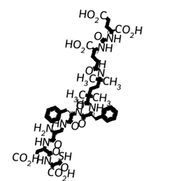 CC(C)(CCC(C)(C)C(=O)N[C@@H](Cc1ccccc1)C(=O)N[C@@H](Cc1ccccc1)C(=O)NC[C@H](N)C(=O)NC(CC(=O)O)C(=O)NC(C(=O)O)C(=O)S)NC(=O)CC[C@H](NC(=O)N[C@@H](CCC(=O)O)C(=O)O)C(=O)O